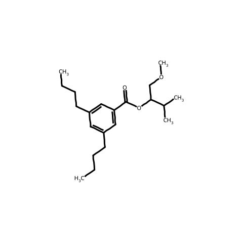 CCCCc1cc(CCCC)cc(C(=O)OC(COC)C(C)C)c1